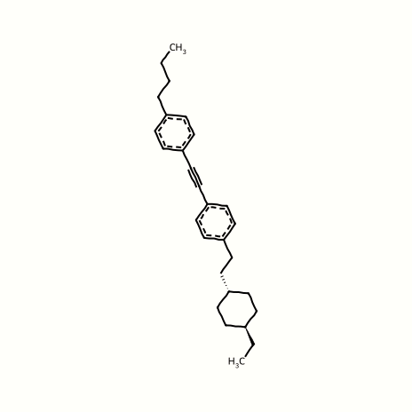 CCCCc1ccc(C#Cc2ccc(CC[C@H]3CC[C@H](CC)CC3)cc2)cc1